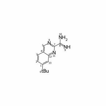 CC(C)(C)c1ccc2cnc(C(=N)N)nc2c1